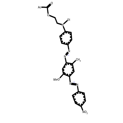 CCN(CCOC(=O)C(C)=O)c1ccc(/N=N/c2cc(OC)c(/N=N/c3ccc([N+](=O)[O-])cc3)cc2C)cc1